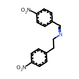 O=[N+]([O-])c1ccc(/C=N\CCc2ccc([N+](=O)[O-])cc2)cc1